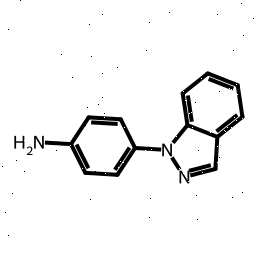 Nc1ccc(-n2ncc3ccccc32)cc1